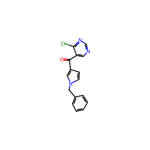 O=C(c1ccn(Cc2ccccc2)c1)c1cncnc1Cl